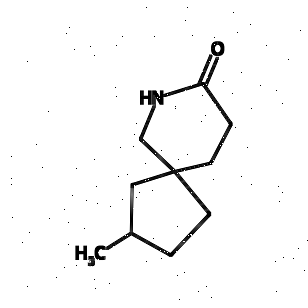 CC1CCC2(CCC(=O)NC2)C1